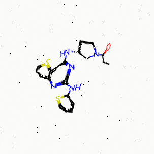 CCC(=O)N1CC[C@@H](Nc2nc(Nc3cccs3)nc3ccsc23)C1